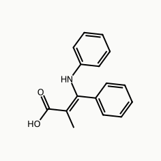 CC(C(=O)O)=C(Nc1ccccc1)c1ccccc1